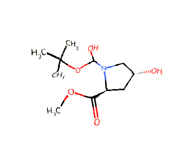 COC(=O)[C@@H]1C[C@@H](O)CN1C(O)OC(C)(C)C